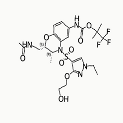 CCn1cc(S(=O)(=O)N2c3cc(NC(=O)OC(C)(C)C(F)(F)F)ccc3O[C@@H](CNC(C)=O)[C@H]2C)c(OCCO)n1